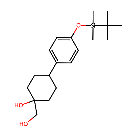 CC(C)(C)[Si](C)(C)Oc1ccc(C2CCC(O)(CO)CC2)cc1